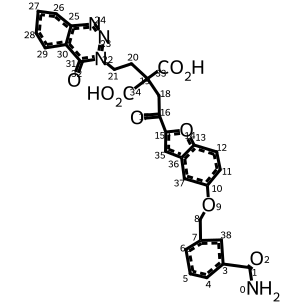 NC(=O)c1cccc(COc2ccc3oc(C(=O)CC(CCn4nnc5ccccc5c4=O)(C(=O)O)C(=O)O)cc3c2)c1